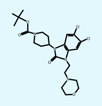 CC(C)(C)OC(=O)N1CCC(n2c(=O)n(CCN3CCOCC3)c3cc(Cl)c(Cl)cc32)CC1